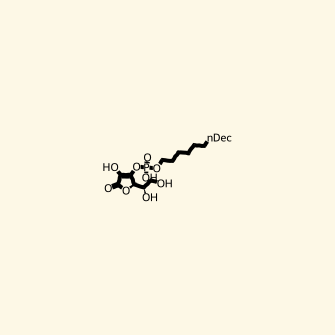 CCCCCCCCCCCCCCCCOP(=O)(O)OC1=C(O)C(=O)O[C@@H]1[C@@H](O)CO